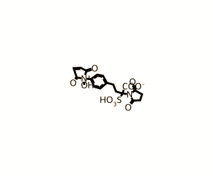 O=C1CCC(=O)N1C(CCc1ccc([N+]2(O)C(=O)C=CC2=O)cc1)(C(=O)[O-])S(=O)(=O)O